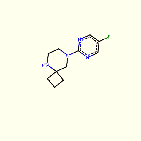 Fc1cnc(N2CCNC3(CCC3)C2)nc1